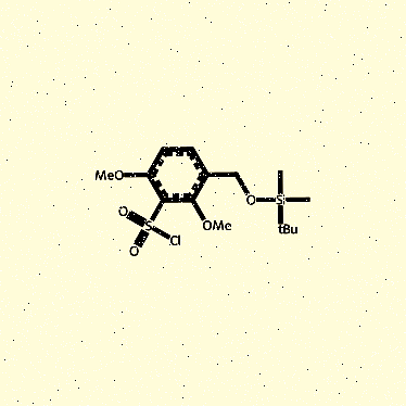 COc1ccc(CO[Si](C)(C)C(C)(C)C)c(OC)c1S(=O)(=O)Cl